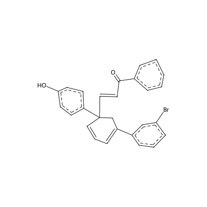 O=C(C=CC1(c2ccc(O)cc2)C=CC=C(c2cccc(Br)c2)C1)c1ccccc1